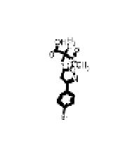 CC(C[C@H]1CC(c2ccc(Br)cc2)=NO1)(C(=O)O)S(C)(=O)=O